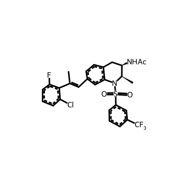 CC(=O)N[C@@H]1Cc2ccc(/C=C(\C)c3c(F)cccc3Cl)cc2N(S(=O)(=O)c2cccc(C(F)(F)F)c2)[C@@H]1C